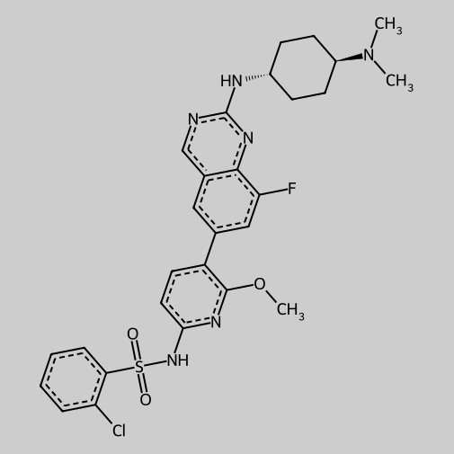 COc1nc(NS(=O)(=O)c2ccccc2Cl)ccc1-c1cc(F)c2nc(N[C@H]3CC[C@H](N(C)C)CC3)ncc2c1